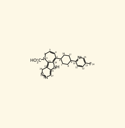 O=C(O)N1CC=CC(C2CCC(c3ccc(F)cn3)CC2)=c2[nH]c3c(c21)CN=NC=3